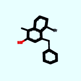 Cc1c(O)cc(Cc2ccccc2)c2c(C(C)C)cccc12